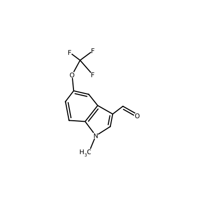 Cn1cc(C=O)c2cc(OC(F)(F)F)ccc21